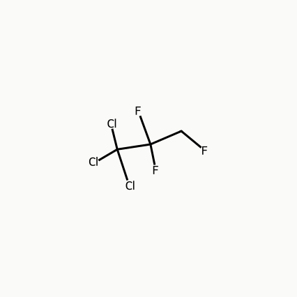 FCC(F)(F)C(Cl)(Cl)Cl